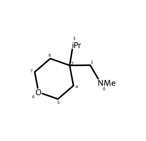 CNCC1(C(C)C)CCOCC1